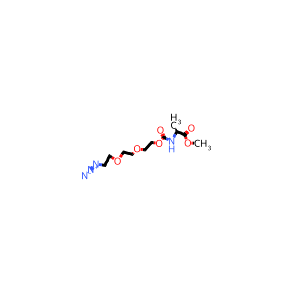 COC(=O)[C@H](C)NC(=O)OCCOCCOCCN=[N+]=[N-]